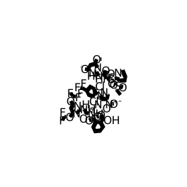 CCS(=O)(=O)c1cccnc1S(=O)(=O)NC(=O)Nc1nc(OC)cc(OC)n1.Nc1c([N+](=O)[O-])cnn1-c1c(Cl)cc(C(F)(F)F)cc1Cl.O=C(Nc1nc(OC(F)F)cc(OC(F)F)n1)NS(=O)(=O)c1ccccc1C(=O)O